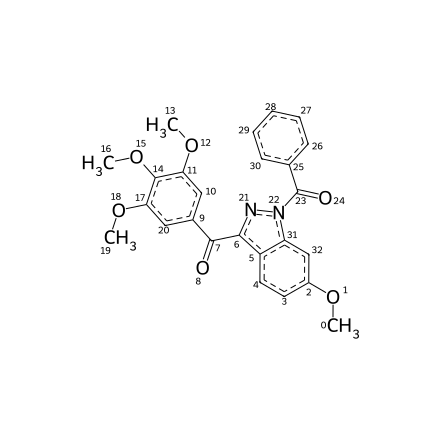 COc1ccc2c(C(=O)c3cc(OC)c(OC)c(OC)c3)nn(C(=O)c3ccccc3)c2c1